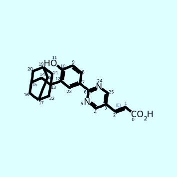 O=C(O)/C=C/c1cnc(-c2ccc(O)c(C34CC5CC(CC(C5)C3)C4)c2)nc1